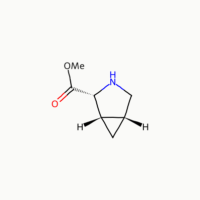 COC(=O)[C@@H]1NC[C@@H]2C[C@@H]21